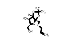 C=CCOC[C@@]12O[C@@H](CO)[C@@H](O)[C@@H]1OC(C)(C)O2